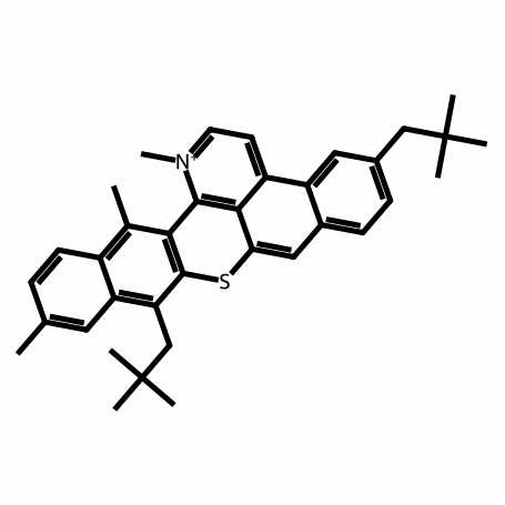 Cc1ccc2c(C)c3c(c(CC(C)(C)C)c2c1)Sc1cc2ccc(CC(C)(C)C)cc2c2cc[n+](C)c-3c12